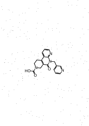 O=C(O)N1CCc2c(c(=O)n(Cc3cccnc3)c3ncccc23)C1